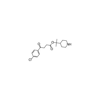 CC(C)(OC(=O)CCC(=O)c1ccc(Cl)cc1)C1CCNCC1